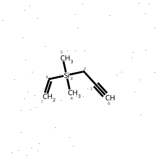 C#CC[Si](C)(C)C=C